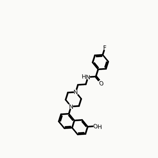 O=C(NCCN1CCN(c2cccc3ccc(O)cc23)CC1)c1ccc(F)cc1